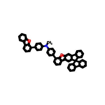 CN(c1ccc(-c2cccc3c2oc2ccccc23)cc1)c1ccc(-c2cccc3c2oc2cc4c(cc23)C2(c3ccccc3-c3ccccc32)c2ccccc2-4)cc1